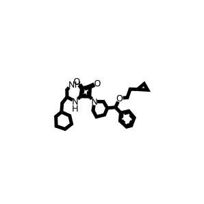 NCC(CC1CCCCC1)Nc1c(N2CCCC(C(OCCC3CC3)c3ccccc3)C2)c(=O)c1=O